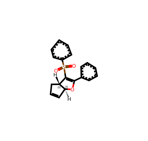 O=S(=O)(C1=C(c2ccccc2)O[C@H]2C=CC[C@H]12)c1ccccc1